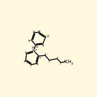 CCCCCc1cccc[n+]1-c1ccccc1